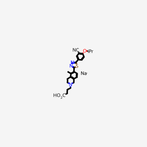 Cc1c(-c2nnc(-c3ccc(OC(C)C)c(C#N)c3)s2)ccc2c1CCN(CCCC(=O)O)C2.[Na]